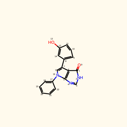 O=c1[nH]cnc2c1c(-c1cccc(O)c1)cn2-c1ccccc1